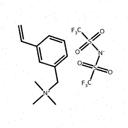 C=Cc1cccc(C[N+](C)(C)C)c1.O=S(=O)([N-]S(=O)(=O)C(F)(F)F)C(F)(F)F